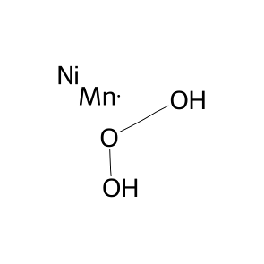 OOO.[Mn].[Ni]